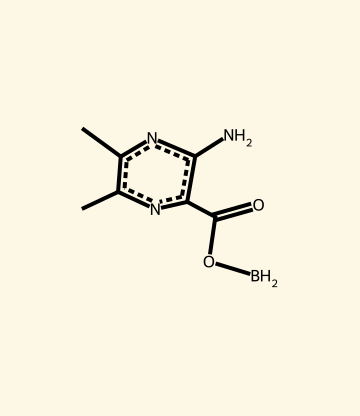 BOC(=O)c1nc(C)c(C)nc1N